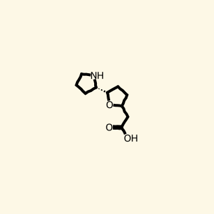 O=C(O)CC1CCC([C@@H]2CCCN2)O1